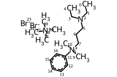 CCN(CC)CCC[N+](C)(C)c1ccccc1.C[N+](C)(C)C.[Br-].[Br-]